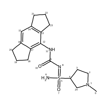 CN1CCC(S(N)(=O)=NC(=O)Nc2c3c(cc4c2CCC4)CCC3)C1